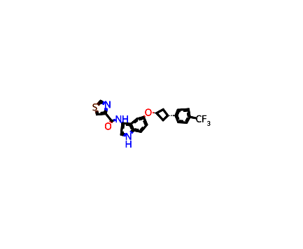 O=C(Nc1c[nH]c2ccc(O[C@H]3C[C@@H](c4ccc(C(F)(F)F)cc4)C3)cc12)c1cscn1